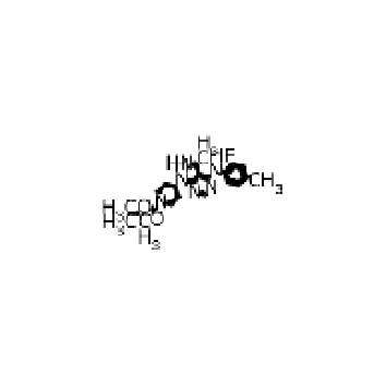 CC(=N)c1c(Nc2ccc(C)cc2F)ncnc1NC1CCN(C(=O)OC(C)(C)C)CC1